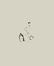 CN(c1cccc2c1NC(C1=NCC(Cn3ccnc3CO)S1)C2)S(=O)(=O)c1ccccn1